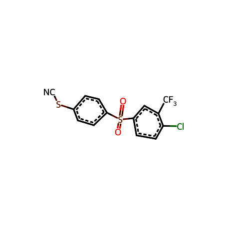 N#CSc1ccc(S(=O)(=O)c2ccc(Cl)c(C(F)(F)F)c2)cc1